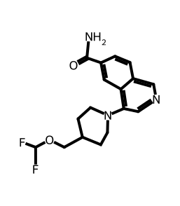 NC(=O)c1ccc2cncc(N3CCC(COC(F)F)CC3)c2c1